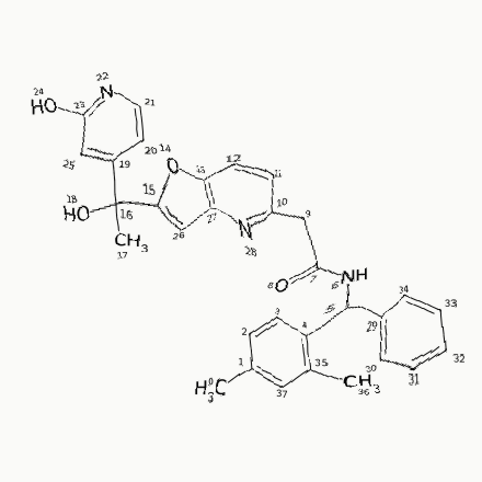 Cc1ccc(C(NC(=O)Cc2ccc3oc(C(C)(O)c4ccnc(O)c4)cc3n2)c2ccccc2)c(C)c1